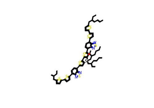 CCCCC(CC)Cc1ccc(-c2ccc(-c3ccc(-c4cc5c(s4)-c4sc(-c6ccc(-c7ccc(-c8ccc(CC(C)CC)s8)s7)c7nsnc67)cc4[Si]5(CC(CC)CCCC)CC(CC)CCCC)c4nsnc34)s2)s1